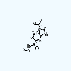 CCNC(=O)c1ccn2c(C(C)C)cnc2c1